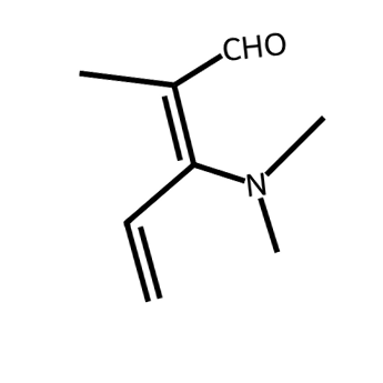 C=CC(=C(C)C=O)N(C)C